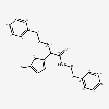 Cc1ccc(C(NCCc2ccncc2)C(=O)NCCc2cccnc2)s1